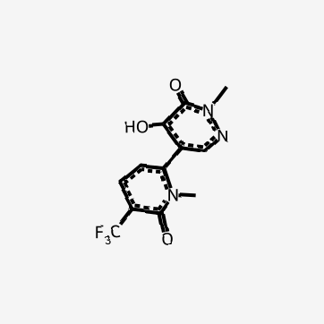 Cn1ncc(-c2ccc(C(F)(F)F)c(=O)n2C)c(O)c1=O